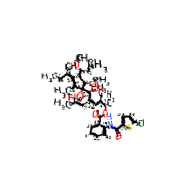 CCC[C@H](CC(C)[C@H](C)OC(=O)c1ccccc1NC(=O)c1ccc(Cl)s1)[C@H](O)[C@]1(O)C(C)C([C@H](C)CC)[C@H]([C@@H](CC)OC)[C@@H]1OC